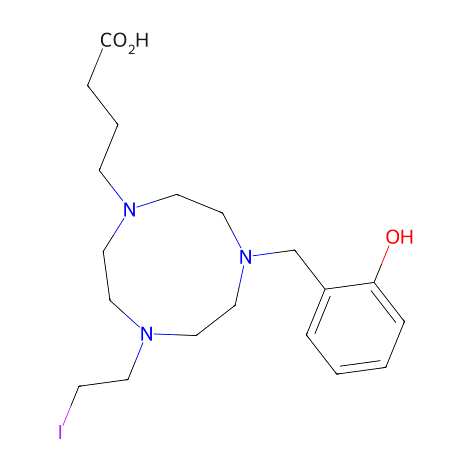 O=C(O)CCCN1CCN(CCI)CCN(Cc2ccccc2O)CC1